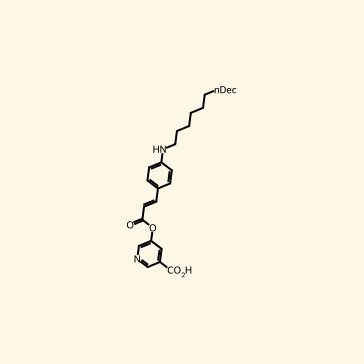 CCCCCCCCCCCCCCCCNc1ccc(C=CC(=O)Oc2cncc(C(=O)O)c2)cc1